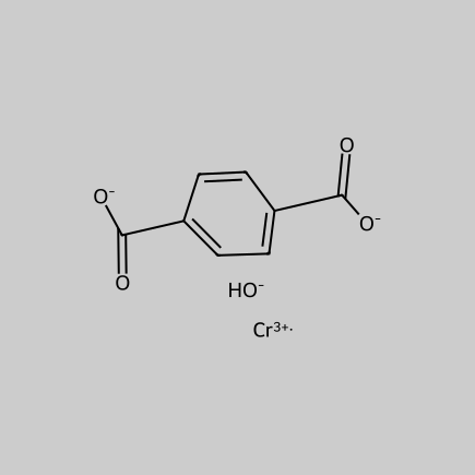 O=C([O-])c1ccc(C(=O)[O-])cc1.[Cr+3].[OH-]